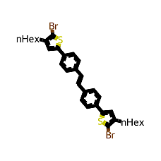 CCCCCCc1cc(-c2ccc(/C=C/c3ccc(-c4cc(CCCCCC)c(Br)s4)cc3)cc2)sc1Br